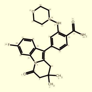 CC1(C)CC(=O)n2c(c(-c3ccc(C(N)=O)c(NN4CCOCC4)c3)c3ccc(F)cc32)C1